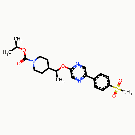 CC(C)OC(=O)N1CCC(C(C)Oc2cnc(-c3ccc(S(C)(=O)=O)cc3)cn2)CC1